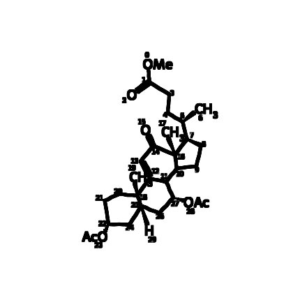 COC(=O)CC[C@@H](C)[C@H]1CCC2C3C(=CC(=O)[C@@]21C)[C@@]1(C)CC[C@@H](OC(C)=O)C[C@H]1C[C@H]3OC(C)=O